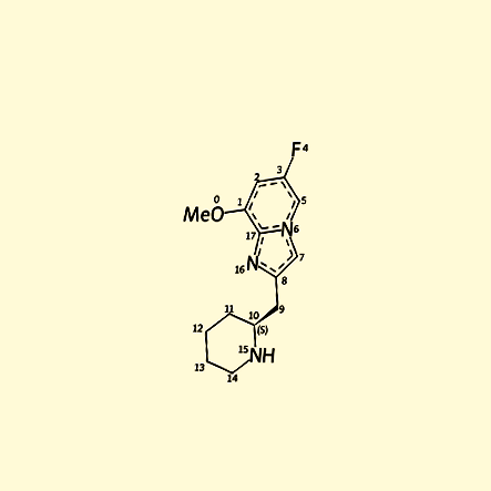 COc1cc(F)cn2cc(C[C@@H]3CCCCN3)nc12